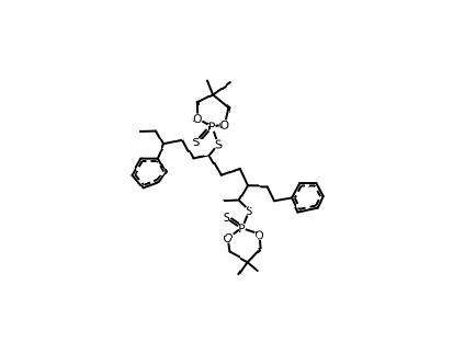 CCC(CCC(CCC(CCc1ccccc1)C(C)SP1(=S)OCC(C)(C)CO1)SP1(=S)OCC(C)(C)CO1)c1ccccc1